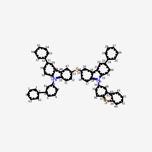 c1ccc(-c2cccc(-n3c4ccc(Sc5ccc6c(c5)c5cc(-c7ccccc7)ccc5n6-c5ccc6sc7ccccc7c6c5)cc4c4cc(-c5ccccc5)ccc43)c2)cc1